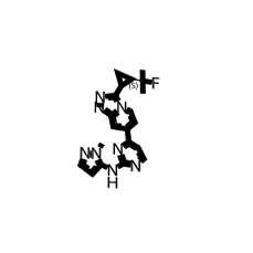 Cn1nccc1Nc1nccc(-c2ccn3c(C4C[C@@H]4C(C)(C)F)nnc3c2)n1